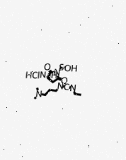 CCN=C=NCCCN(C)C.Cl.O=C1CCC(=O)N1SO.[NaH]